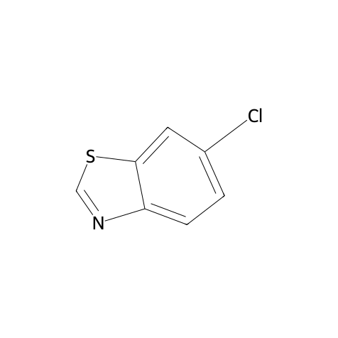 Clc1ccc2ncsc2c1